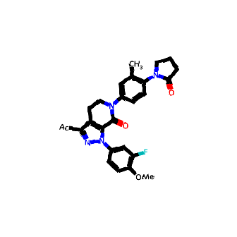 COc1ccc(-n2nc(C(C)=O)c3c2C(=O)N(c2ccc(N4CCCC4=O)c(C)c2)CC3)cc1F